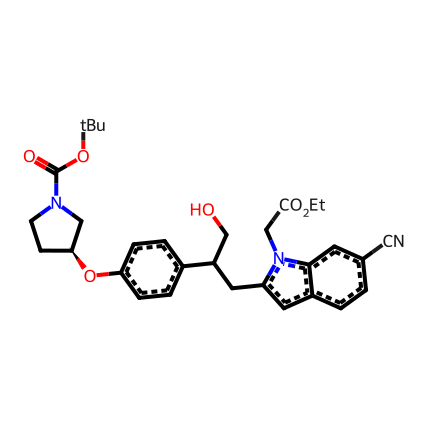 CCOC(=O)Cn1c(CC(CO)c2ccc(O[C@H]3CCN(C(=O)OC(C)(C)C)C3)cc2)cc2ccc(C#N)cc21